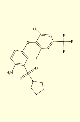 Nc1ccc(Oc2c(F)cc(C(F)(F)F)cc2Cl)cc1S(=O)(=O)N1CCCC1